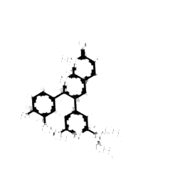 Cc1cc(-c2cc3ccc(=O)[nH]c3nc2-c2ccc(F)c(C#N)c2)cc(N(C)C)n1